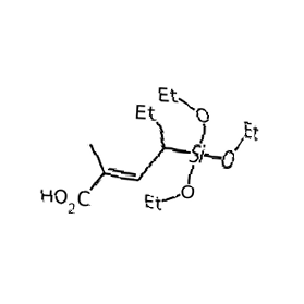 CCO[Si](OCC)(OCC)C(C=C(C)C(=O)O)CC